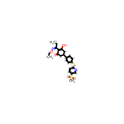 CCO/N=C(/CC)C1=C(O)CC(c2ccc(Sc3ccc(S(C)(=O)=O)cn3)cc2)CC1=O